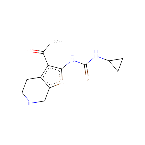 COC(=O)c1c(NC(=S)NC2CC2)sc2c1CCNC2